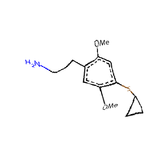 COc1cc(SC2CC2)c(OC)cc1CCN